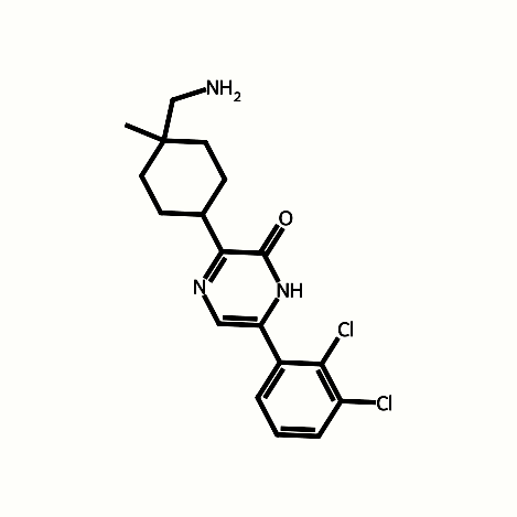 CC1(CN)CCC(c2ncc(-c3cccc(Cl)c3Cl)[nH]c2=O)CC1